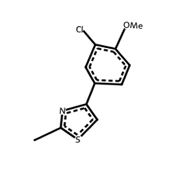 COc1ccc(-c2csc(C)n2)cc1Cl